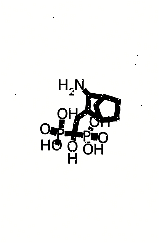 NC1C2CCC(C2)C1CC(O)(P(=O)(O)O)P(=O)(O)O